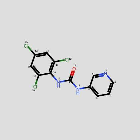 O=C(Nc1cccnc1)Nc1c(Cl)cc(Cl)cc1Cl